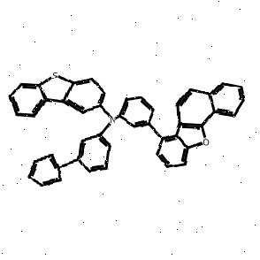 c1ccc(-c2cccc(N(c3cccc(-c4cccc5oc6c7ccccc7ccc6c45)c3)c3ccc4sc5ccccc5c4c3)c2)cc1